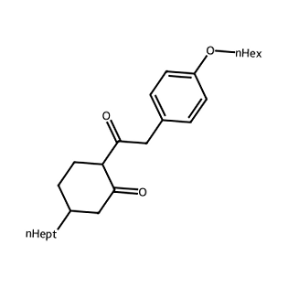 CCCCCCCC1CCC(C(=O)Cc2ccc(OCCCCCC)cc2)C(=O)C1